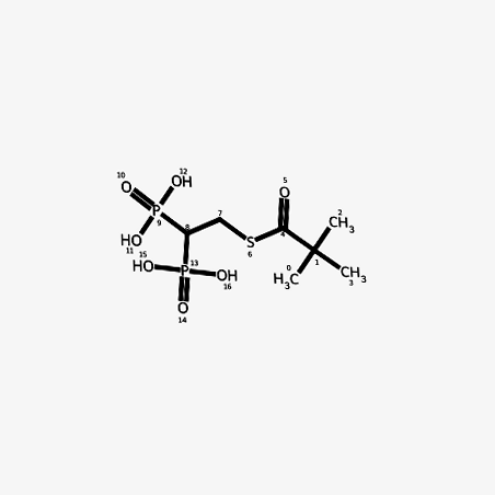 CC(C)(C)C(=O)SCC(P(=O)(O)O)P(=O)(O)O